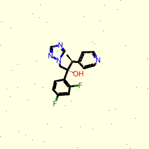 C[C@@H](c1ccncc1)[C@](O)(Cn1cncn1)c1ccc(F)cc1F